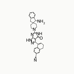 N#Cc1ccc2c(c1)CCC=C2c1n[nH]c2nc(N3CCC4(CC3)Cc3ccccc3[C@H]4N)[nH]c(=O)c12